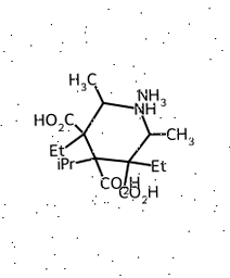 CCC1(C(=O)O)C(C)NC(C)C(CC)(C(=O)O)C1(C(=O)O)C(C)C.N